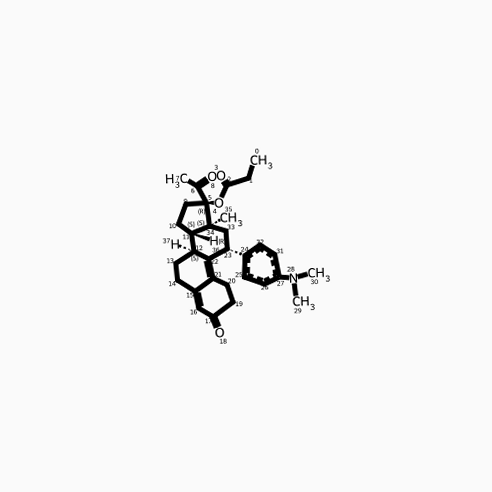 CCC(=O)O[C@]1(C(C)=O)CC[C@H]2[C@@H]3CCC4=CC(=O)CCC4=C3[C@@H](c3ccc(N(C)C)cc3)C[C@@]21C